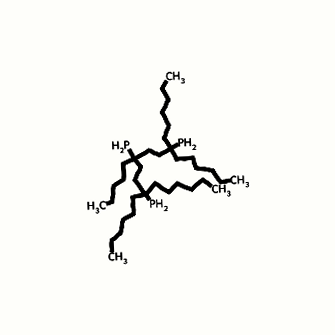 CCCCCCC(P)(CCCCCC)CCC(P)(CCCCC)CCC(P)(CCCCCC)CCCCCC